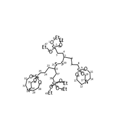 CCO[Si](CCC(CCC[Si]12OCCN(CCO1)CCO2)SSC(CCC[Si]12OCCN(CCO1)CCO2)CC[Si](OCC)(OCC)OCC)(OCC)OCC